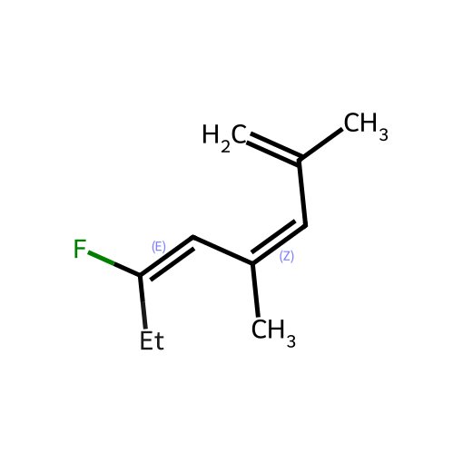 C=C(C)/C=C(C)\C=C(\F)CC